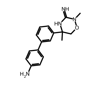 CN1OCC(C)(c2cccc(-c3ccc(N)cc3)c2)NC1=N